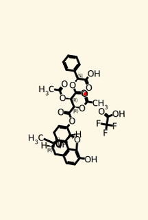 CC(=O)O[C@@H](C(=O)OC1=CC[C@@]2(O)[C@H]3Cc4ccc(O)c5c4[C@@]2(CCN3C)[C@H]1O5)[C@@H](OC(C)=O)C(=O)O[C@H](C(=O)O)c1ccccc1.O=C(O)C(F)(F)F